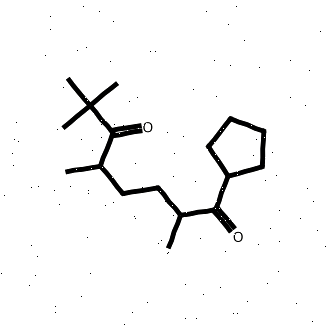 CC(CCC(C)C(=O)C(C)(C)C)C(=O)C1CCCC1